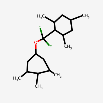 CC1CC(C)C(C(F)(F)OC2CC(C)C(C)C(C)C2)C(C)C1